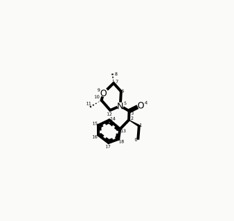 CC[C@H](C(=O)N1C[C@@H](C)O[C@@H](C)C1)c1ccccc1